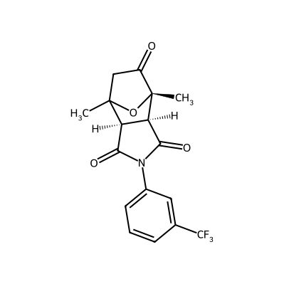 CC12CC(=O)[C@@](C)(O1)[C@H]1C(=O)N(c3cccc(C(F)(F)F)c3)C(=O)[C@H]12